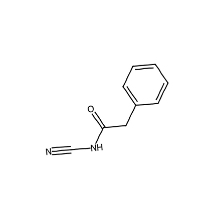 N#CNC(=O)Cc1ccccc1